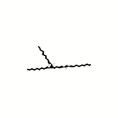 CCCCCCCCCOCOC=CCCC(OCCCCCCCCC)OCCCCCCCCC